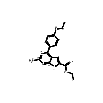 CCOC(=O)c1cc2c(-c3ccc(OCC)cc3)nc(N)nc2s1